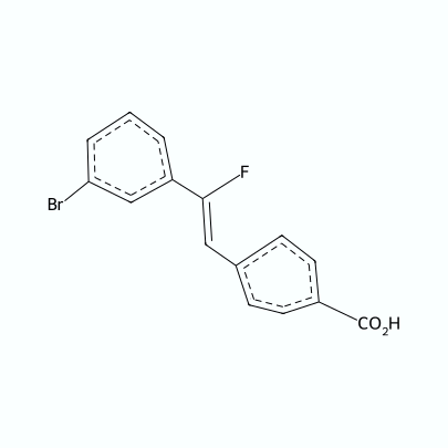 O=C(O)c1ccc(C=C(F)c2cccc(Br)c2)cc1